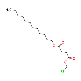 CCCCCCCCCCCCOC(=O)CCC(=O)OCCl